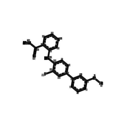 CCOc1cccc(-c2ccc(Nc3cnccc3C(=O)OC)c(F)c2)c1